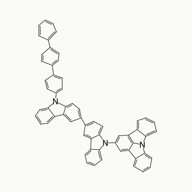 c1ccc(-c2ccc(-c3ccc(-n4c5ccccc5c5cc(-c6ccc7c(c6)c6ccccc6n7-c6cc7c8ccccc8n8c9ccccc9c(c6)c78)ccc54)cc3)cc2)cc1